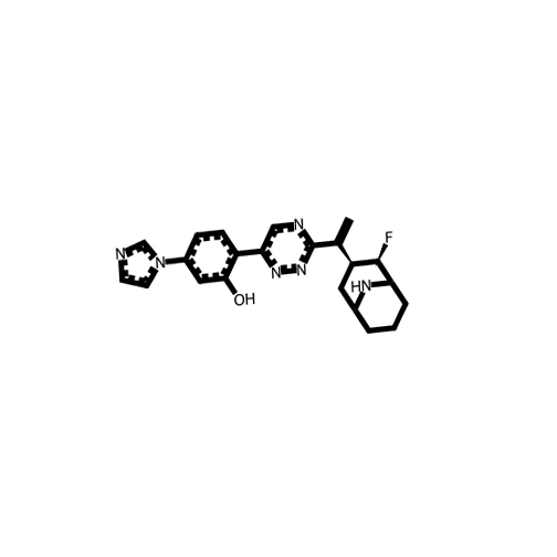 C=C(c1ncc(-c2ccc(-n3ccnc3)cc2O)nn1)[C@@H]1CC2CCCC(N2)[C@@H]1F